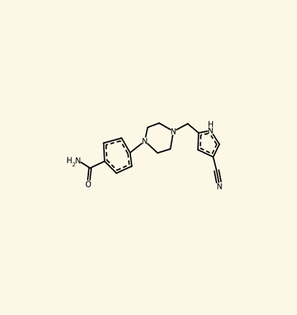 N#Cc1c[nH]c(CN2CCN(c3ccc(C(N)=O)cc3)CC2)c1